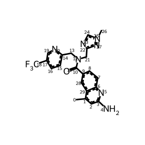 Cc1cc(N)nc2ccc(C(=O)N(Cc3ccc(C(F)(F)F)cn3)Cc3ncn(C)n3)cc12